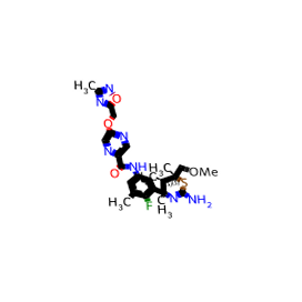 COC[C@@]1(C)SC(N)=N[C@](C)(c2cc(NC(=O)c3cnc(OCc4nc(C)no4)cn3)cc(C)c2F)[C@@H]1C